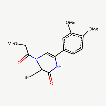 COCC(=O)N1C=C(c2ccc(OC)c(OC)c2)NC(=O)C1C(C)C